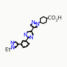 CCn1cc(-c2cccc(-c3ncc(-c4cnn(C5CCC(C(=O)O)CC5)c4)cn3)c2)cn1